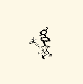 CC(C)C[C@H](N[C@@H](c1ccc2c(c1)oc1ccc(F)cc12)C(F)(F)F)C(=O)NC1(C#N)CC1.O=C(O)C(F)(F)F